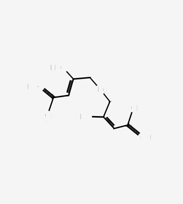 C=C(C)C=C(C)[CH2][Ru][CH2]C(C)=CC(=C)C